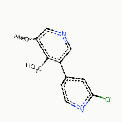 COc1cncc(-c2ccnc(Cl)c2)c1C(=O)O